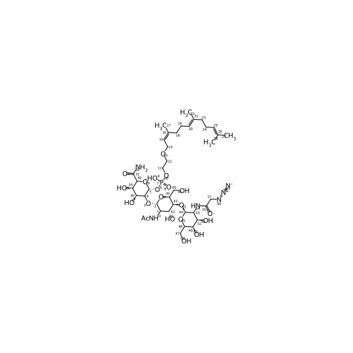 CC(=O)NC1[C@H](OC2[C@@H](OP(=O)(O)OCCOC/C=C(/C)CC/C=C(\C)CCC=C(C)C)OC(C(N)=O)[C@H](O)[C@@H]2O)OC(CO)[C@@H](O[C@@H]2OC(CO)[C@H](O)[C@H](O)C2NC(=O)CN=[N+]=[N-])[C@@H]1O